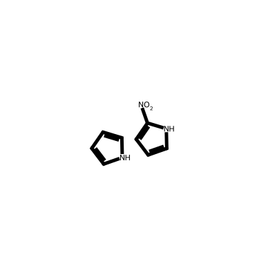 O=[N+]([O-])c1ccc[nH]1.c1cc[nH]c1